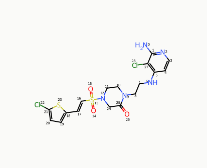 Nc1nccc(NCCN2CCN(S(=O)(=O)C=Cc3ccc(Cl)s3)CC2=O)c1Cl